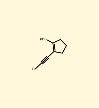 CCCCC1=C(C#CBr)CCC1